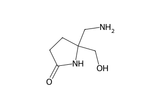 NCC1(CO)CCC(=O)N1